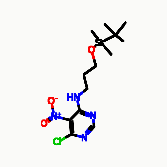 CC(C)(C)[Si](C)(C)OCCCNc1ncnc(Cl)c1[N+](=O)[O-]